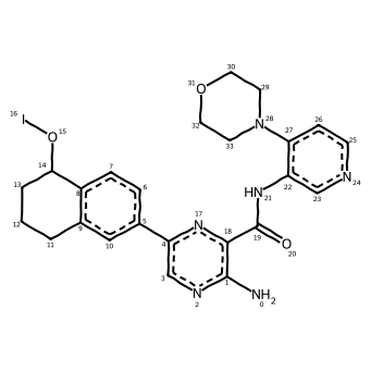 Nc1ncc(-c2ccc3c(c2)CCCC3OI)nc1C(=O)Nc1cnccc1N1CCOCC1